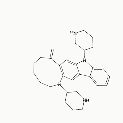 C=C1CCCCCN(C2CCCNC2)c2cc3c4ccccc4n(C4CCCNC4)c3cc21